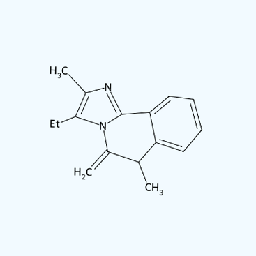 C=C1C(C)c2ccccc2-c2nc(C)c(CC)n21